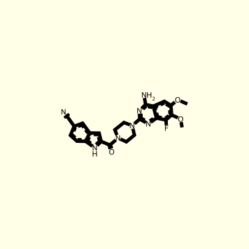 COc1cc2c(N)nc(N3CCN(C(=O)c4cc5cc(C#N)ccc5[nH]4)CC3)nc2c(F)c1OC